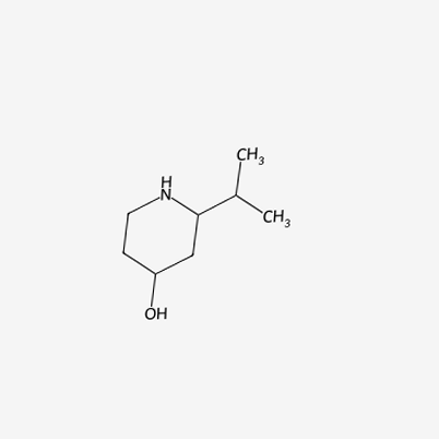 CC(C)C1CC(O)CCN1